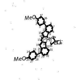 COc1ccc(-c2cccc3c2C=C(C)[CH]3[Hf+2]2([CH]3C(C)=Cc4c(-c5ccc(OC)cc5)cccc43)[CH2]C[CH2]2)cc1.[Cl-].[Cl-]